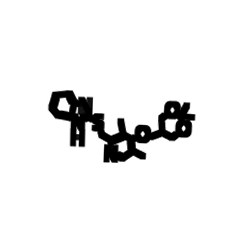 Cc1cnc(CSc2nc3ccccc3[nH]2)c(C)c1OCC1COC(C)(C)OC1